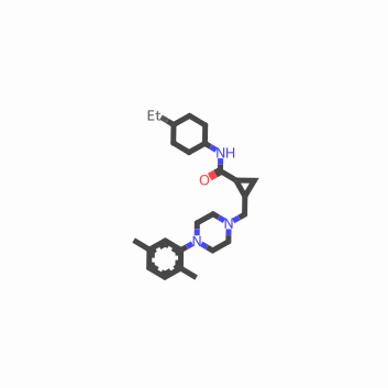 CCC1CCC(NC(=O)C2CC2CN2CCN(c3cc(C)ccc3C)CC2)CC1